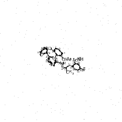 COc1cccc(OC)c1-n1c(NSC(C)Cc2ncc(F)cc2NC(C)=O)nnc1-c1ccco1